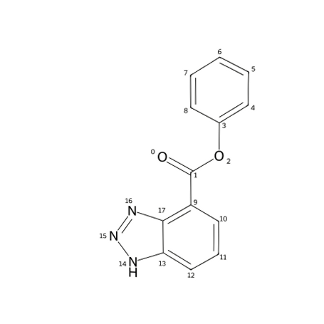 O=C(Oc1ccccc1)c1cccc2[nH]nnc12